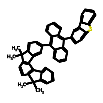 CC1(C)c2ccccc2-c2c1ccc1c2-c2cc(-c3c4ccccc4c(-c4ccc5sc6ccccc6c5c4)c4ccccc34)ccc2C1(C)C